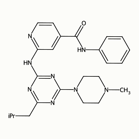 CC(C)Cc1nc(Nc2cc(C(=O)Nc3ccccc3)ccn2)nc(N2CCN(C)CC2)n1